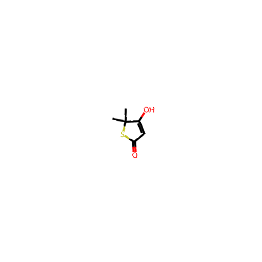 CC1(C)SC(=O)C=C1O